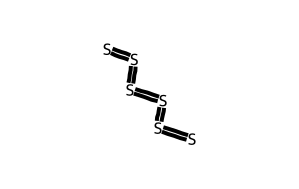 S=S=S=S=S=S